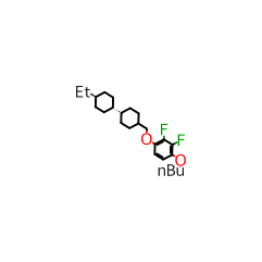 CCCCOc1ccc(OCC2CCC([C@H]3CC[C@H](CC)CC3)CC2)c(F)c1F